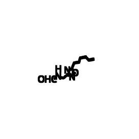 C=C/C=C\C=C\c1nc(CNC=O)no1